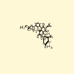 Cc1ccc(Nc2c3c(=O)n(C4CC4)c(=O)n(-c4cccc(/N=C/N(C)C)c4)c3c(C)c(=O)n2C)c(F)c1